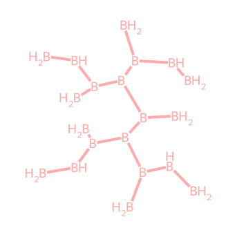 BBB(B)B(B(B)BB)B(B)B(B(B)BB)B(B)BB